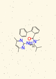 Cc1cc(C)nc(NC[C@H](C(C)C)N(C)C(=O)c2ccccc2-c2ccccc2)n1